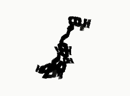 CC(O)(C/C=C/[C@H]1[C@H]2CC(CCCCC(=O)O)=C[C@H]2C[C@H]1O)C1CCCC1